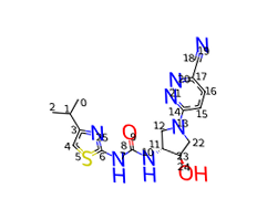 CC(C)c1csc(NC(=O)N[C@@H]2CN(c3ccc(C#N)nn3)C[C@H]2O)n1